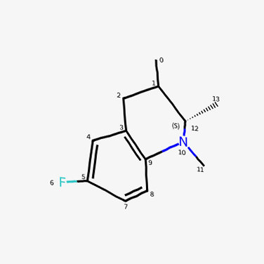 CC1Cc2cc(F)ccc2N(C)[C@H]1C